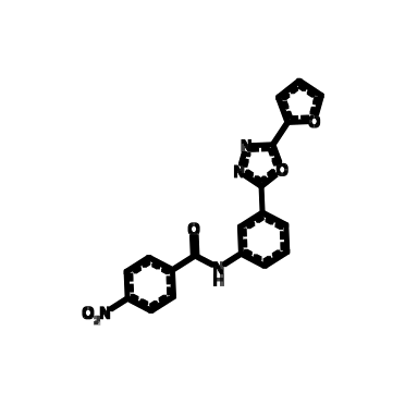 O=C(Nc1cccc(-c2nnc(-c3ccco3)o2)c1)c1ccc([N+](=O)[O-])cc1